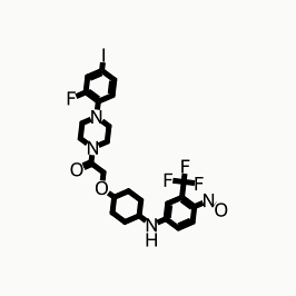 O=Nc1ccc(NC2CCC(OCC(=O)N3CCN(c4ccc(I)cc4F)CC3)CC2)cc1C(F)(F)F